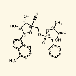 C[C@H](N[P@@](=O)(OC[C@@]1(C#N)O[C@@H](c2ccc3c(N)ncnn23)[C@H](O)[C@@H]1O)Oc1ccccc1)C(=O)O